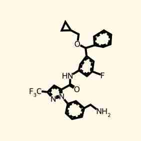 NCc1cccc(-n2nc(C(F)(F)F)cc2C(=O)Nc2cc(F)cc(C(OCC3CC3)c3ccccc3)c2)c1